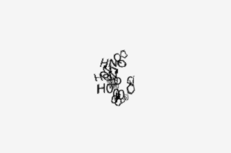 C[C@@]1(O)[C@H](O)[C@@H](COP2(=O)OCC[C@@H](c3cccc(Cl)c3)O2)O[C@H]1n1ccc(NC(=O)OC2CCCC2)nc1=O